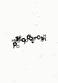 CNC(=O)CN1CCC(COc2cc3nccc(Oc4ccc(NC(=O)C5(C(=O)Nc6ccc(F)c(Cl)c6)CC5)cc4F)c3cc2OC)CC1